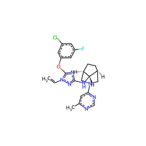 C=Cn1nc(N[C@@H]2[C@@H]3CC[C@H]2CN(c2cc(C)ncn2)C3)nc1Oc1cc(F)cc(Cl)c1